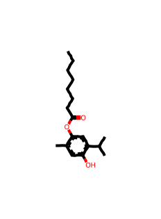 CCCCCCCC(=O)Oc1cc(C(C)C)c(O)cc1C